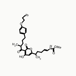 COC(=O)N/C=C/CCC(C)c1cc(O)c(C(=O)C(C)CCCc2ccc(OCCC(C)C)cc2)c(=O)o1